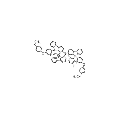 C=Cc1ccc(Oc2ccc(C3(c4c(F)ccc(F)c4F)c4ccccc4-c4ccc(N(c5ccc6c(c5)C(c5ccc(Oc7ccc(C=C)cc7)cc5)(c5c(F)ccc(F)c5F)c5ccccc5-6)c5cccc6c5oc5ccccc56)cc43)cc2)cc1